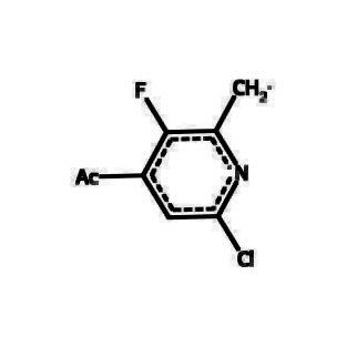 [CH2]c1nc(Cl)cc(C(C)=O)c1F